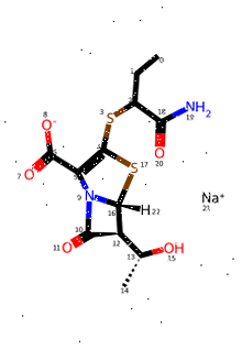 CCC(SC1=C(C(=O)[O-])N2C(=O)[C@H]([C@@H](C)O)[C@H]2S1)C(N)=O.[Na+]